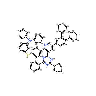 c1ccc(-c2nc(-c3ccccc3)nc(-c3cc(-c4ccc(-c5ccccc5)c(-c5ccccc5)c4)cnc3-c3ccc4sc5ccc6c7ccccc7n(-c7ccccc7)c6c5c4c3)n2)cc1